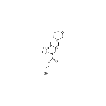 BN[C@@H](C[C@H]1CCCOC1)CN(C)C(=O)OCCS